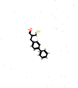 O=CC(CS)Cc1ccc(-c2ccccc2)cc1